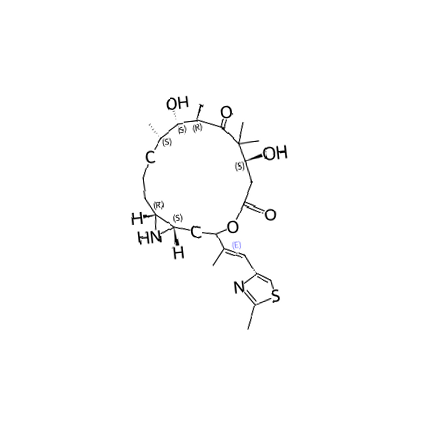 C/C(=C\c1csc(C)n1)C1C[C@@H]2N[C@@H]2CCC[C@H](C)[C@H](O)[C@@H](C)C(=O)C(C)(C)[C@@H](O)CC(=O)O1